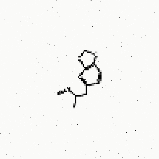 C=NC(C)Cc1ccc2c(c1)OCO2